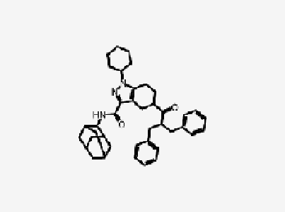 O=C(NC1C2CC3CC(C2)CC1C3)c1nn(C2CCCCC2)c2c1CC(C(=O)C(Cc1ccccc1)Cc1ccccc1)CC2